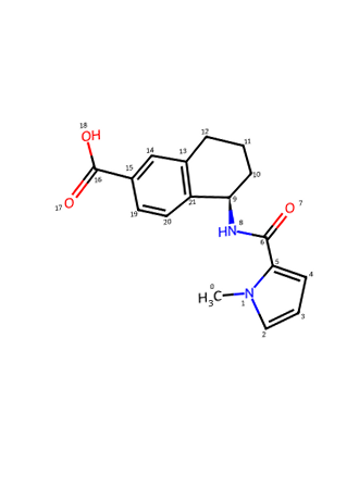 Cn1cccc1C(=O)N[C@@H]1CCCc2cc(C(=O)O)ccc21